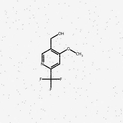 COc1cc(C(F)(F)F)ncc1CO